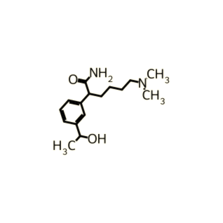 CC(O)c1cccc(C(CCCCN(C)C)C(N)=O)c1